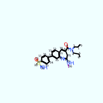 CCCN(CCC)C(=O)C1=Cc2ccc(-c3ccc(S(C)(=N)=O)cc3)cc2N=C(NI)C1